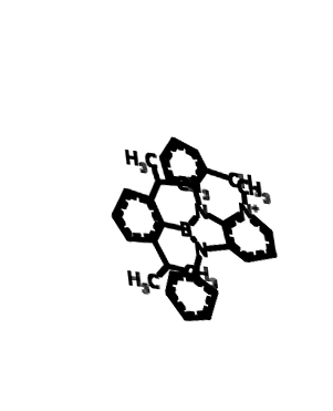 Cc1ccccc1N1B(c2c(C(C)C)cccc2C(C)C)N(c2ccccc2)c2ccc[n+](C)c21